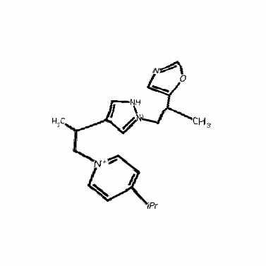 CC(C)c1cc[n+](CC(C)c2c[nH][n+](CC(C)c3cnco3)c2)cc1